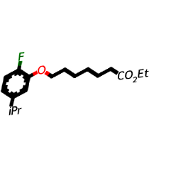 CCOC(=O)CCCCCCOc1cc(C(C)C)ccc1F